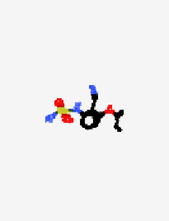 CCC(C)Oc1cccc(NS(N)(=O)=O)c1C#N